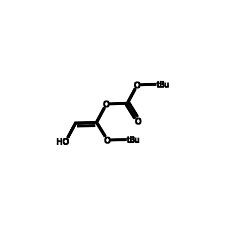 CC(C)(C)OC(=O)O/C(=C/O)OC(C)(C)C